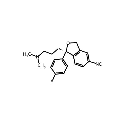 [C-]#[N+]c1ccc2c(c1)CO[C@]2(CCCN(C)C)c1ccc(F)cc1